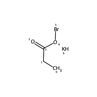 CCC(=O)OBr.[KH]